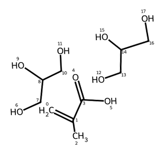 C=C(C)C(=O)O.OCC(O)CO.OCC(O)CO